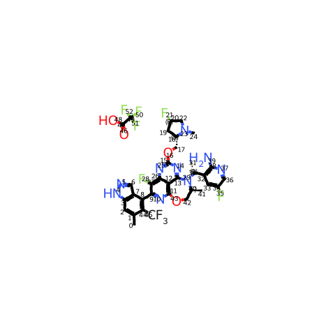 Cc1cc2[nH]ncc2c(-c2nc3c4c(nc(OC[C@@H]5C[C@@H](F)CN5C)nc4c2F)N([C@H](C)c2cc(F)cnc2N)[C@@H](C)CO3)c1C(F)(F)F.O=C(O)C(F)(F)F